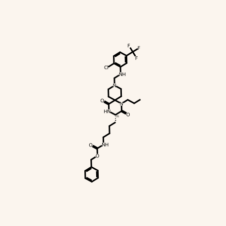 CCCN1C(=O)[C@H](CCCCNC(=O)OCc2ccccc2)NC(=O)C12CCN(CNc1cc(C(F)(F)F)ccc1Cl)CC2